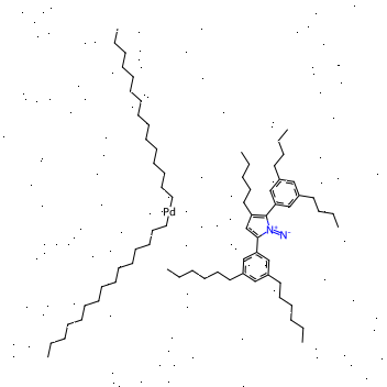 CCCCCCCCCCCCCC[CH2][Pd][CH2]CCCCCCCCCCCCCC.CCCCCCc1cc(CCCCCC)cc(C2=CC(CCCCC)=C(c3cc(CCCC)cc(CCCC)c3)[N+]2=[N-])c1